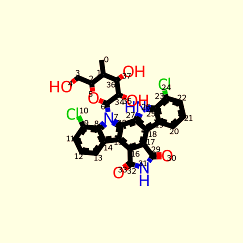 CC1C(CO)OC(n2c3c(Cl)cccc3c3c4c(c5c6cccc(Cl)c6[nH]c5c32)C(=O)NC4=O)C(O)C1O